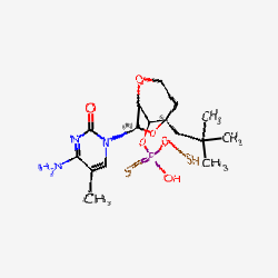 Cc1cn([C@@H]2O[C@@]3(CC(C)(C)C)CCOC2C3OP(O)(=S)OS)c(=O)nc1N